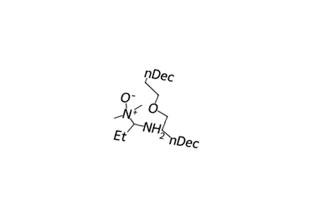 CCC(N)[N+](C)(C)[O-].CCCCCCCCCCCCOCCCCCCCCCCCC